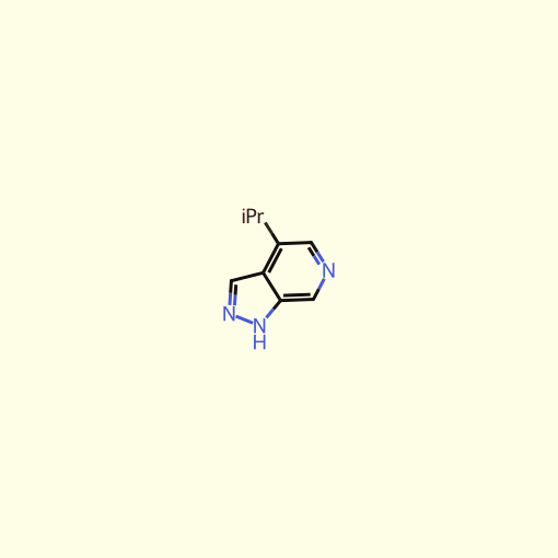 CC(C)c1cncc2[nH]ncc12